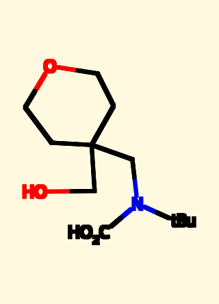 CC(C)(C)N(CC1(CO)CCOCC1)C(=O)O